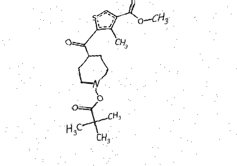 COC(=O)c1csc(C(=O)C2CCN(OC(=O)C(C)(C)C)CC2)c1C